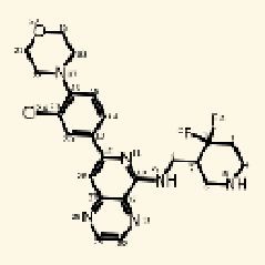 FC1(F)CCNCC1CNc1nc(-c2ccc(N3CCOCC3)c(Cl)c2)cc2nccnc12